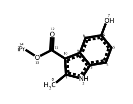 Cc1[nH]c2ccc(O)cc2c1C(=O)OC(C)C